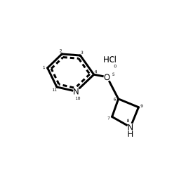 Cl.c1ccc(OC2CNC2)nc1